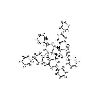 c1ccc(-c2ccc3c(c2)Oc2cc(-c4ccccc4)cc4c2N3c2cc(-c3ncncn3)cc3c2B4c2cc(-c4ccccc4)cc4c2N3c2ccc(-c3ccccc3)cc2O4)cc1